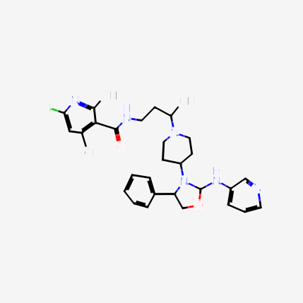 Cc1cc(Cl)nc(C)c1C(=O)NCCC(C)N1CCC(N2C(Nc3cccnc3)OCC2c2ccccc2)CC1